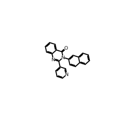 O=c1c2ccccc2nc(-c2cccnc2)n1-c1ccc2ccccc2c1